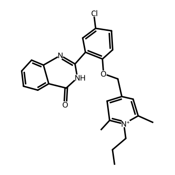 CCC[n+]1c(C)cc(COc2ccc(Cl)cc2-c2nc3ccccc3c(=O)[nH]2)cc1C